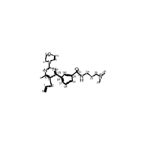 C=CCc1c(C)nc(N2CCOCC2)nc1-c1cccc(C(=O)NCCCN(C)C)c1